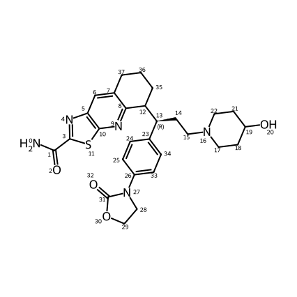 NC(=O)c1nc2cc3c(nc2s1)C([C@@H](CCN1CCC(O)CC1)c1ccc(N2CCOC2=O)cc1)CCC3